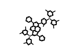 Cc1cc(C)cc(N(c2cc(C)cc(C)c2)c2ccc(-c3cc(-c4ccccc4)c4ccc5c(N(c6cc(C)cc(C)c6)c6cc(C)cc(C)c6)cc(-c6ccccc6)c6ccc3c4c65)c(C)c2)c1